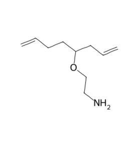 C=CCCC(CC=C)OCCN